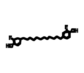 OC1=C(F)CC(CCCCCCCCCCCCc2ccc(O)c(F)c2)C=C1